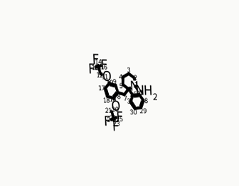 NN1CCCCC1(Cc1cc(OCC(F)(F)F)ccc1OCC(F)(F)F)c1ccccc1